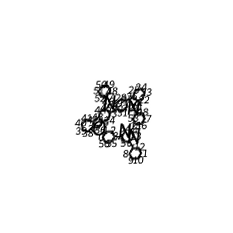 c1ccc(-c2cc(-c3ccccc3)nc(-c3cccc(-n4c5ccccc5c5cc6c(cc54)c4cc5oc7ccccc7c5cc4n6-c4ccccc4)c3)n2)cc1